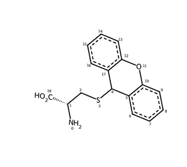 N[C@@H](CSC1c2ccccc2Oc2ccccc21)C(=O)O